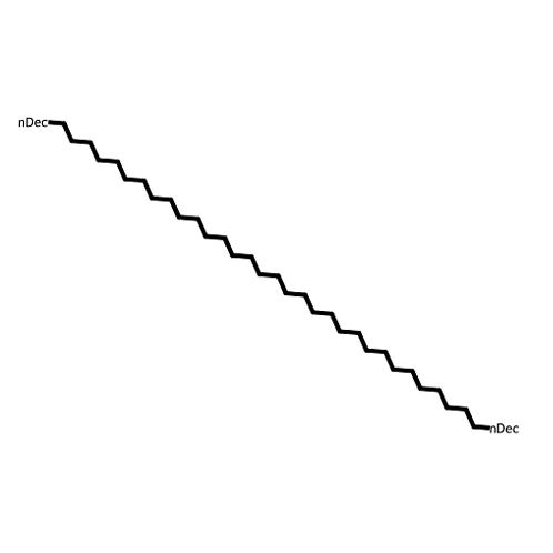 CCCCCCCCCCCCCCCCCCCCCCCCCCCCCCCCCCCCCCCCCCCCCCCCCCCC